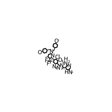 CNc1cnc(N)c([C@@H](C)N2CCOc3c(Cl)c(-c4nc(N(Cc5ccc(OC)cc5)Cc5ccc(OC)cc5)cc(C)c4C(F)(F)F)cc4ncnc2c34)c1